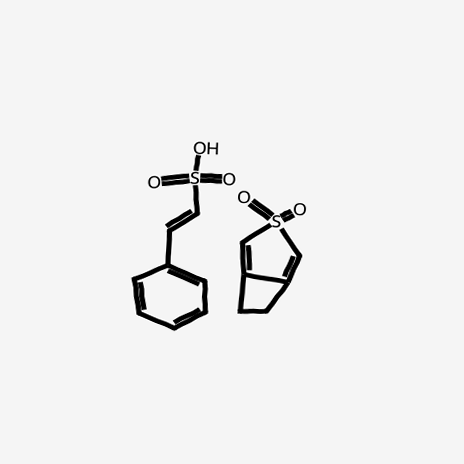 O=S(=O)(O)C=Cc1ccccc1.O=S1(=O)C=C2CCC2=C1